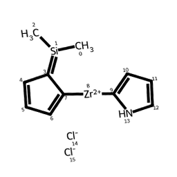 C[Si](C)=C1C=CC=[C]1[Zr+2][c]1ccc[nH]1.[Cl-].[Cl-]